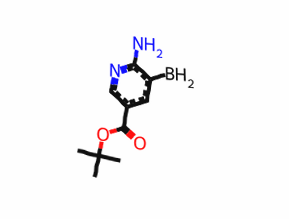 Bc1cc(C(=O)OC(C)(C)C)cnc1N